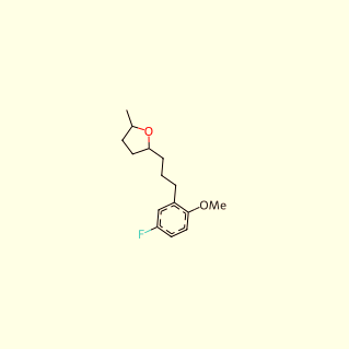 COc1ccc(F)cc1CCCC1CCC(C)O1